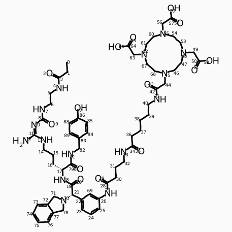 CCC(=O)NCCNC(=O)/N=C(/N)NCCC[C@@H](NC(=O)[C@H](c1cccc(NC(=O)CCCNC(=O)CCCCCNC(=O)CN2CCN(CC(=O)O)CCN(CC(=O)O)CCN(CC(=O)O)CC2)c1)N1Cc2ccccc2C1)C(=O)NCc1ccc(O)cc1